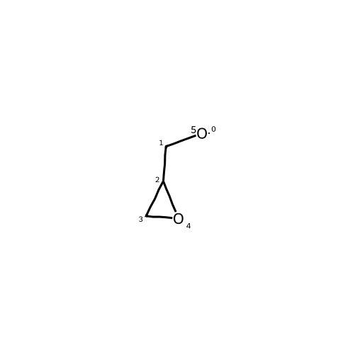 [5O]CC1CO1